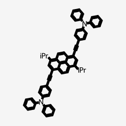 CC(C)c1cc(C#Cc2ccc(N(c3ccccc3)c3ccccc3)cc2)c2ccc3c(C(C)C)cc(C#Cc4ccc(N(c5ccccc5)c5ccccc5)cc4)c4ccc1c2c43